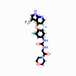 O=C(NCC(=O)N1CCOCC1)Nc1cc(F)c(Oc2ccnc3[nH]cc(C(F)(F)F)c23)c(F)c1